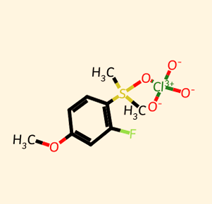 COc1ccc(S(C)(C)O[Cl+3]([O-])([O-])[O-])c(F)c1